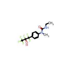 CCNC(=O)N(C)c1ccc(C(F)(F)C(O)(F)C(F)(F)F)cc1